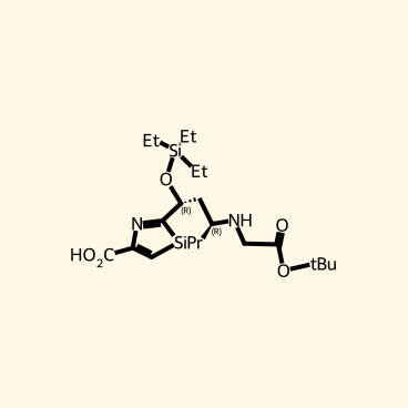 CC[Si](CC)(CC)O[C@H](C[C@@H](NCC(=O)OC(C)(C)C)C(C)C)c1nc(C(=O)O)cs1